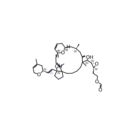 C=C1C[C@H](C)C[C@@H]2CC=C[C@@H](C/C=C(\C)C3(CCCCC1(C)[C@H](O)[C@@H]1O[C@H]1CCOC=O)CCC[C@]3(O)/C=C/[C@@H]1CC(C)=CCO1)O2